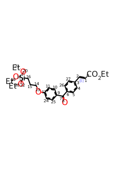 CCOC(=O)/C=C/c1ccc(C(=O)c2ccc(OCCC[Si](OCC)(OCC)OCC)cc2)cc1